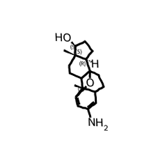 C[C@]12C3=CC(N)=CC1CCC1(O3)C2CC[C@]2(C)[C@@H](O)CC[C@@H]12